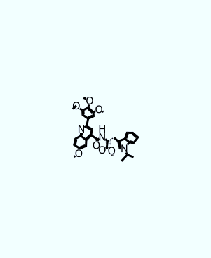 COC(=O)[C@@H](Cc1cn(C(C)C)c2ccccc12)NC(=O)c1cc(-c2cc(OC)c(OC)c(OC)c2)nc2ccc(OC)cc12